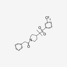 CC(C)(C1CCN(C(=O)Cc2ccccc2)CC1)S(=O)(=O)c1cccc(C(F)(F)F)c1